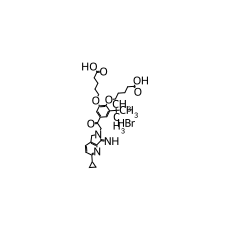 Br.CC(C)(C)c1cc(C(=O)CN2Cc3ccc(C4CC4)nc3C2=N)cc(OCCCCC(=O)O)c1OCCCCC(=O)O